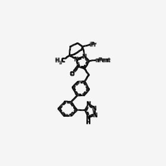 CCCCCc1c(Cc2ccc(-c3ccccc3-c3nnn[nH]3)cc2)c(=O)n2n1C1(C(C)C)CCC2(C)CC1